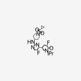 CC(C)n1cc(-c2nc(NC3CCN(S(=O)(=O)C4CC4)CC3)ncc2F)cc(F)c1=O